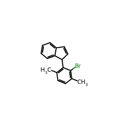 Cc1ccc(C)c(C2C=Cc3ccccc32)c1Br